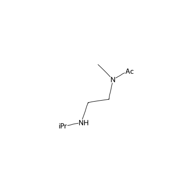 CC(=O)N(C)CCNC(C)C